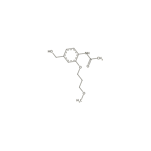 COCCCOc1cc(CO)ccc1NC(C)=O